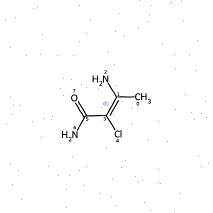 C/C(N)=C(\Cl)C(N)=O